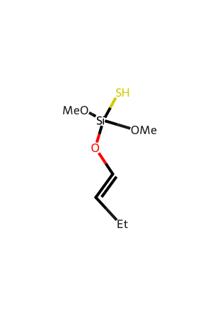 CCC=CO[Si](S)(OC)OC